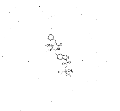 COC(=O)C(Cc1ccc2c(cnn2S(=O)(=O)CC[Si](C)(C)C)c1)NC(=O)OCc1ccccc1